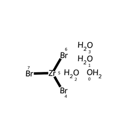 O.O.O.O.[Br][Zr]([Br])[Br]